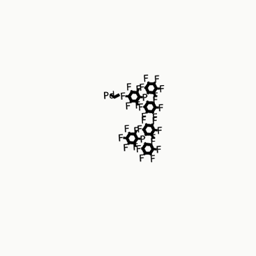 C=CC.Fc1c(F)c(F)c(P(c2c(F)c(F)c(F)c(F)c2F)c2c(F)c(F)c(F)c(F)c2F)c(F)c1F.Fc1c(F)c(F)c(P(c2c(F)c(F)c(F)c(F)c2F)c2c(F)c(F)c(F)c(F)c2F)c(F)c1F.[Pd]